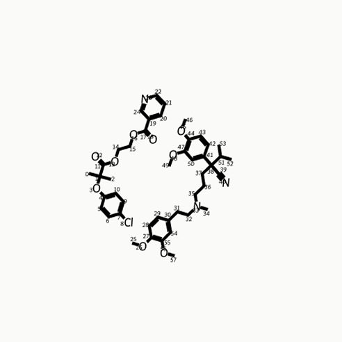 CC(C)(Oc1ccc(Cl)cc1)C(=O)OCCOC(=O)c1cccnc1.COc1ccc(CCN(C)CCCC(C#N)(c2ccc(OC)c(OC)c2)C(C)C)cc1OC